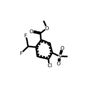 COC(=O)c1cc(S(C)(=O)=O)c(Cl)cc1C(F)F